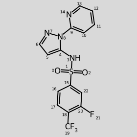 O=S(=O)(Nc1ccnn1-c1ccccn1)c1ccc(C(F)(F)F)c(F)c1